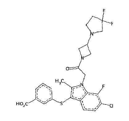 Cc1c(Sc2cccc(C(=O)O)c2)c2ccc(Cl)c(F)c2n1CC(=O)N1CC(N2CCC(F)(F)C2)C1